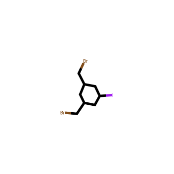 BrCC1CC(I)CC(CBr)C1